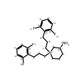 N[C@H]1CCC[N+](CCCc2c(F)cccc2F)(CCCc2c(F)cccc2F)C1